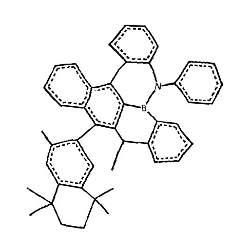 Cc1cc2c(cc1-c1c3c4c(c5ccccc15)-c1ccccc1N(c1ccccc1)B4c1ccccc1C3C)C(C)(C)CCC2(C)C